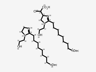 CCCCCCCCCCCCCCCCCCC1=NC(C(Cl)C(=O)O)CN1CCO.CCCCCCCCCCCCCCCCCCC1=NCCN1CCO